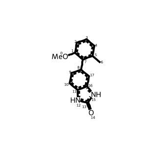 COc1cccc(C)c1-c1ccc2[nH]c(=O)[nH]c2c1